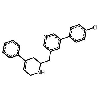 Clc1ccc(-c2cncc(CC3CC(c4ccccc4)=CCN3)c2)cc1